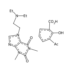 CC(=O)c1cccc(C(=O)O)c1O.CCN(CC)CCn1cnc2c1c(=O)n(C)c(=O)n2C